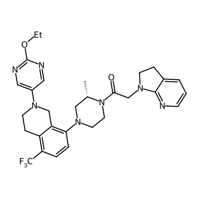 CCOc1ncc(N2CCc3c(C(F)(F)F)ccc(N4CCN(C(=O)CN5CCc6cccnc65)[C@@H](C)C4)c3C2)cn1